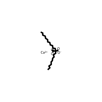 CCCCCCCCCCCCC(CCCCCCCCCC)(C(=O)[O-])C(=O)[O-].[Ca+2]